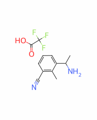 Cc1c(C#N)cccc1C(C)N.O=C(O)C(F)(F)F